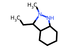 CCC1C2CCCCC2NN1C